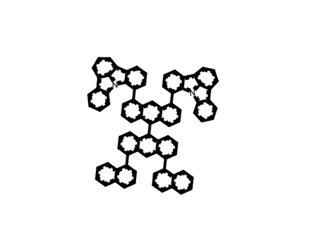 c1ccc2c(-c3cccc4c(-c5c6cccc(-c7cccc8c9cccc%10c%11ccccc%11n(c78)c%109)c6cc6c(-c7cccc8c9cccc%10c%11ccccc%11n(c78)c%109)cccc56)c5cccc(-c6cccc7ccccc67)c5cc34)cccc2c1